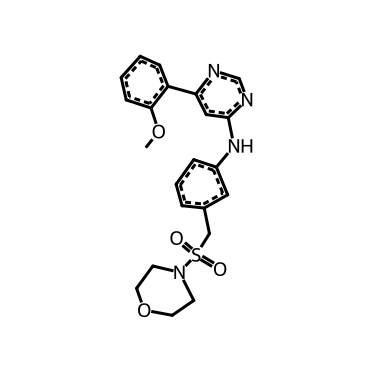 COc1ccccc1-c1cc(Nc2cccc(CS(=O)(=O)N3CCOCC3)c2)ncn1